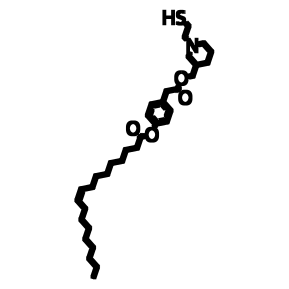 CCCCCCCC/C=C\CCCCCCCC(=O)Oc1ccc(CC(=O)OCC2CCCN(CCS)C2)cc1